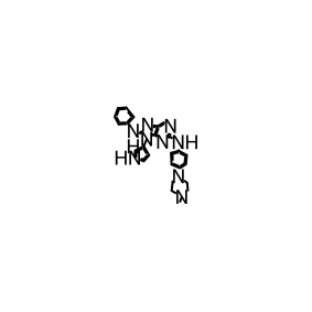 CN1CCN(c2ccc(Nc3ncc4nc(Nc5ccccc5)n(-c5cc[nH]c5)c4n3)cc2)CC1